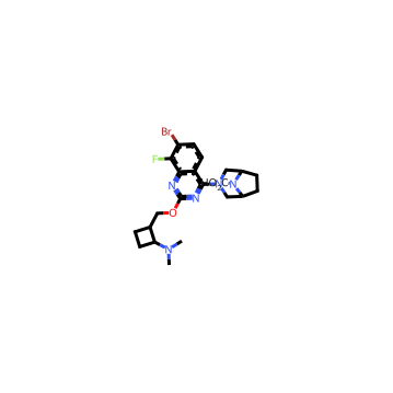 CN(C)C1CCC1COc1nc(N2CC3CCC(C2)N3C(=O)O)c2ccc(Br)c(F)c2n1